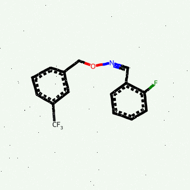 Fc1ccccc1/[C]=N\OCc1cccc(C(F)(F)F)c1